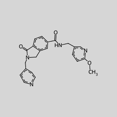 COc1ccc(CNC(=O)c2ccc3c(c2)CN(Cc2ccncc2)C3=O)cn1